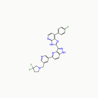 Fc1ccc(-c2ccnc3[nH]c(-c4n[nH]c5ccc(-c6cncc(CN7CCC(F)(F)C7)c6)nc45)nc23)cc1